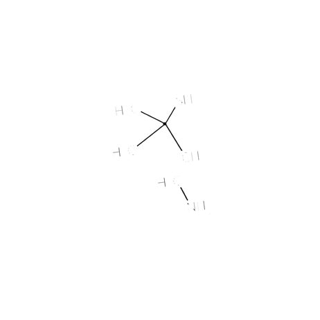 CC(C)(C)S.CN